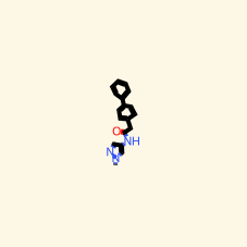 Cn1cc(NC(=O)Cc2ccc(-c3ccccc3)cc2)cn1